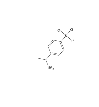 CC(N)c1ccc([Si](Cl)(Cl)Cl)cc1